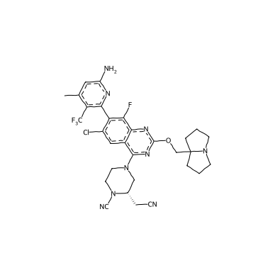 Cc1cc(N)nc(-c2c(Cl)cc3c(N4CCN(C#N)[C@@H](CC#N)C4)nc(OCC45CCCN4CCC5)nc3c2F)c1C(F)(F)F